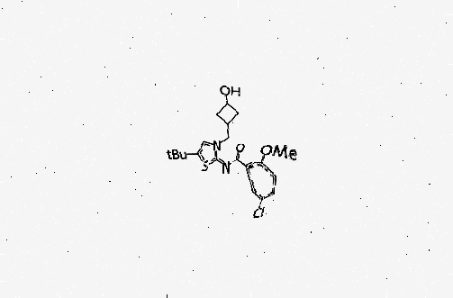 COc1ccc(Cl)cc1C(=O)N=c1sc(C(C)(C)C)cn1CC1CC(O)C1